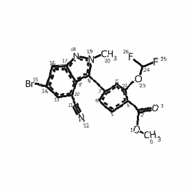 COC(=O)c1ccc(-c2c3c(C#N)cc(Br)cc3nn2C)cc1OC(F)F